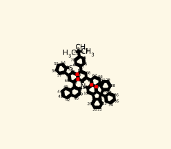 CC(C)(C)c1ccc(-c2ccc(N(c3ccc4c(c3)-c3ccccc3C4(c3ccccc3)c3ccccc3)c3ccc4ccccc4c3-c3ccc4sc5ccccc5c4c3)c(-c3ccccc3)c2)cc1